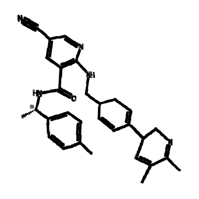 CC1=CC(C2=CCC(CNc3ncc(C#N)cc3C(=O)N[C@@H](C)c3ccc(C)cc3)C=C2)CN=C1C